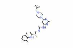 C=C(C)CN1CCN(c2cc(N/C(C)=N/C=C(\C)C(=C)Nc3c(C)cccc3C)nc(C)n2)CC1